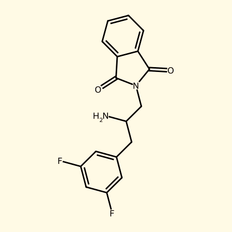 NC(Cc1cc(F)cc(F)c1)CN1C(=O)c2ccccc2C1=O